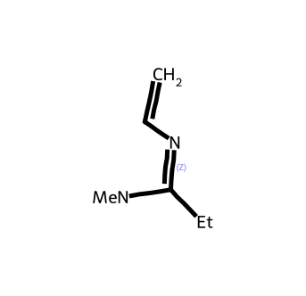 C=C/N=C(/CC)NC